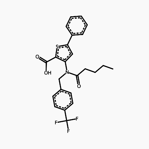 CCCCC(=O)N(Cc1ccc(C(F)(F)F)cc1)c1cc(-c2ccccc2)sc1C(=O)O